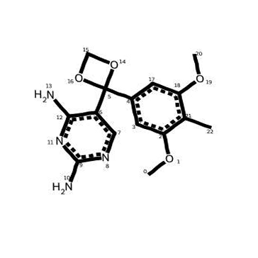 COc1cc(C2(c3cnc(N)nc3N)OCO2)cc(OC)c1C